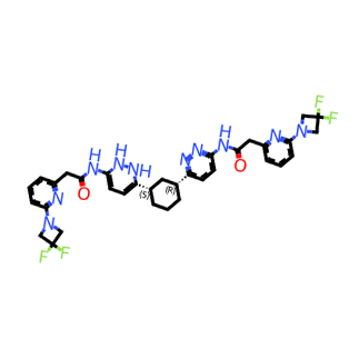 O=C(Cc1cccc(N2CC(F)(F)C2)n1)NC1=CC=C([C@H]2CCC[C@@H](c3ccc(NC(=O)Cc4cccc(N5CC(F)(F)C5)n4)nn3)C2)NN1